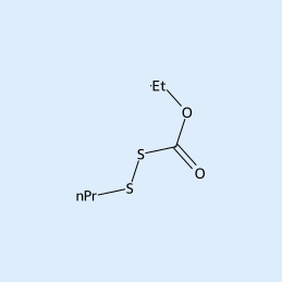 C[CH]OC(=O)SSCCC